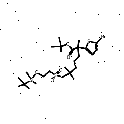 CC(C)(CCCC(C)(C(=O)OC(C)(C)C)c1ccc(Br)s1)CS(=O)(=O)CCO[Si](C)(C)C(C)(C)C